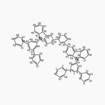 c1ccc(-c2cc(-c3ccccc3)cc(-n3c4ccccc4c4cc(-c5cccc(-c6ccc7c(c6)c6ccccc6n7-c6cc(-c7ccccc7)cc(-c7ccccc7)c6)c5)ccc43)c2)cc1